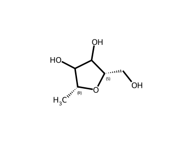 C[C@H]1O[C@@H](CO)C(O)C1O